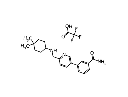 CC1(C)CCC(NCc2ccc(-c3cccc(C(N)=O)c3)cn2)CC1.O=C(O)C(F)(F)F